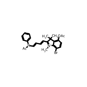 CC(=O)Oc1ccc(Br)c2c1C(C)(C)C(/C=C/C=C/N(C(C)=O)c1ccccc1)=[N+]2C